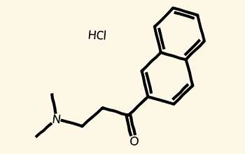 CN(C)CCC(=O)c1ccc2ccccc2c1.Cl